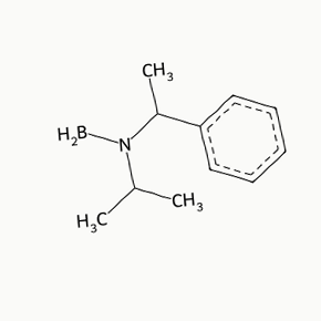 BN(C(C)C)C(C)c1ccccc1